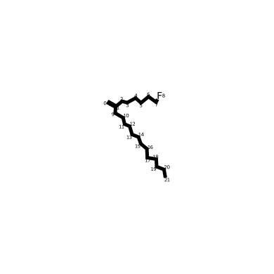 C=C(CCCCCCF)CCCCCCCCCCCCC